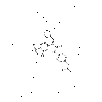 C[S+]([O-])Cc1cnc(NC(=O)/C(=C/C2CCCC2)c2ccc(S(C)(=O)=O)c(Cl)c2)cn1